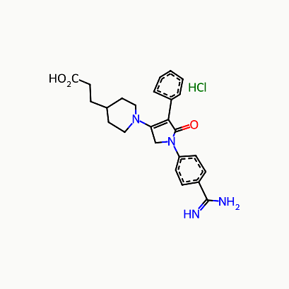 Cl.N=C(N)c1ccc(N2CC(N3CCC(CCC(=O)O)CC3)=C(c3ccccc3)C2=O)cc1